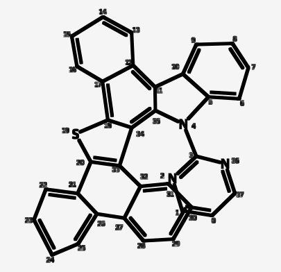 c1cnc(-n2c3ccccc3c3c4ccccc4c4sc5c6ccccc6c6ccccc6c5c4c32)nc1